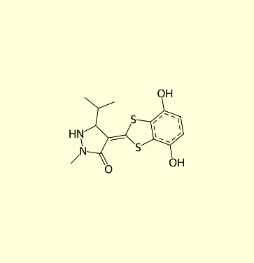 CC(C)C1NN(C)C(=O)C1=C1Sc2c(O)ccc(O)c2S1